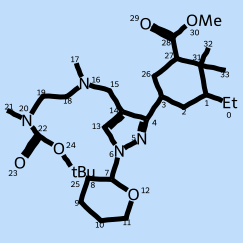 CCC1CC(c2nn(C3CCCCO3)cc2CN(C)CCN(C)C(=O)OC(C)(C)C)CC(C(=O)OC)C1(C)C